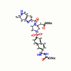 CNC(=O)CC1CN(S(=O)(=O)c2ccc3cc(C(=N)NC(=O)OC)ccc3c2)CCN1C(=O)c1nc2c(s1)CNC(C)C2